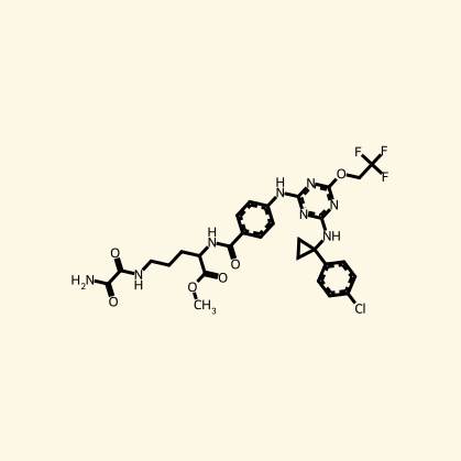 COC(=O)C(CCCNC(=O)C(N)=O)NC(=O)c1ccc(Nc2nc(NC3(c4ccc(Cl)cc4)CC3)nc(OCC(F)(F)F)n2)cc1